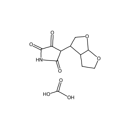 O=C(O)O.O=C1NC(=O)C(C2COC3OCCC32)C1=O